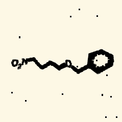 O=[N+]([O-])CCCCOCc1ccccc1